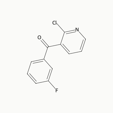 O=C(c1cccc(F)c1)c1cccnc1Cl